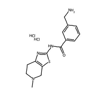 CN1CCc2nc(NC(=O)c3cccc(CN)c3)sc2C1.Cl.Cl